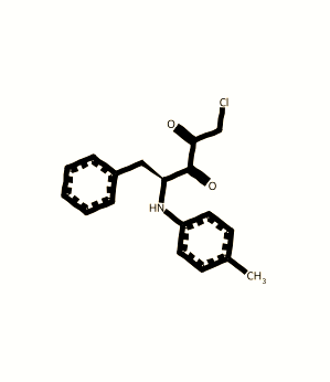 Cc1ccc(N[C@@H](Cc2ccccc2)C(=O)C(=O)CCl)cc1